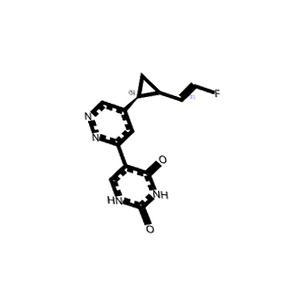 O=c1[nH]cc(-c2cc([C@H]3CC3/C=C/F)cnn2)c(=O)[nH]1